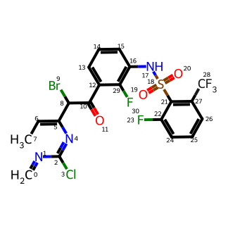 C=N/C(Cl)=N\C(=C/C)C(Br)C(=O)c1cccc(NS(=O)(=O)c2c(F)cccc2C(F)(F)F)c1F